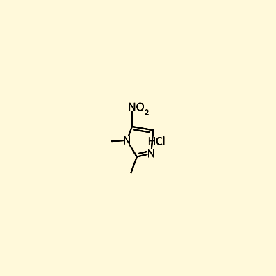 Cc1ncc([N+](=O)[O-])n1C.Cl